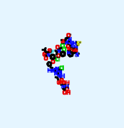 CC(C)=C1OC(=O)N(c2cc(OC3CCCC3)c(Cl)cc2F)C1=O.CC1COc2ccccc2N1C(=O)C(Cl)Cl.CCNc1nc(Cl)nc(NC(C)C)n1.COc1cc(OC)nc(NC(=O)NS(=O)(=O)c2ncccc2C(=O)N(C)C)n1.C[S+](C)C.O=C(O)CNCP(=O)([O-])O